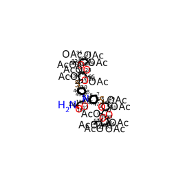 CC(=O)OC[C@H]1O[C@@H](Sc2ccc(N(C(=O)CC(N)=O)c3ccc(S[C@@H]4O[C@H](COC(C)=O)[C@@H](O[C@@H]5O[C@H](COC(C)=O)[C@@H](OC(C)=O)[C@H](OC(C)=O)[C@H]5OC(C)=O)[C@H](OC(C)=O)[C@H]4OC(C)=O)cc3)cc2)[C@H](OC(C)=O)[C@@H](OC(C)=O)[C@@H]1O[C@@H]1O[C@H](COC(C)=O)[C@@H](OC(C)=O)[C@H](OC(C)=O)[C@H]1OC(C)=O